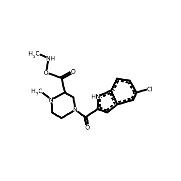 CNOC(=O)C1CN(C(=O)c2cc3cc(Cl)ccc3[nH]2)CCN1C